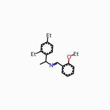 CCOc1ccccc1C=NC(C)c1ccc(CC)cc1CC